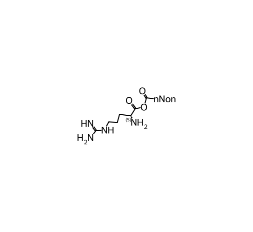 CCCCCCCCCC(=O)OC(=O)[C@@H](N)CCCNC(=N)N